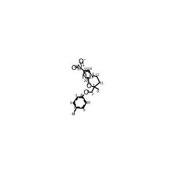 CC1(COc2ccc(I)cc2)CCn2cc([N+](=O)[O-])nc2O1